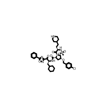 CS(=O)(=O)N[C@H](CCC1CCNCC1)C(=O)N1C[C@H](OCc2ccc(Cl)cc2)C[C@H]1C(=O)N[C@@H](CC1CCCCC1)C(=O)c1noc(-c2ccccc2)n1